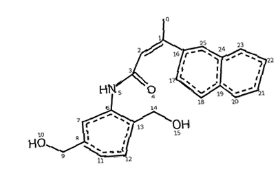 C/C(=C/C(=O)Nc1cc(CO)ccc1CO)c1ccc2ccccc2c1